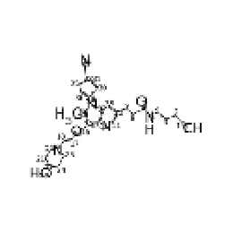 C#CCCCNC(=O)CCc1cnc2c(COCCN3CCC(O)CC3)c(C)n(-c3ccc(C#N)cc3)c2c1